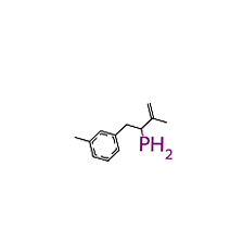 C=C(C)C(P)Cc1cccc(C)c1